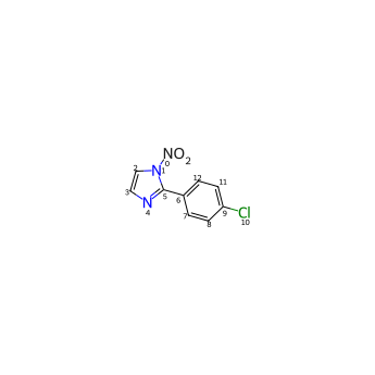 O=[N+]([O-])n1ccnc1-c1ccc(Cl)cc1